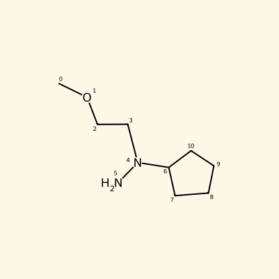 COCCN(N)C1CCCC1